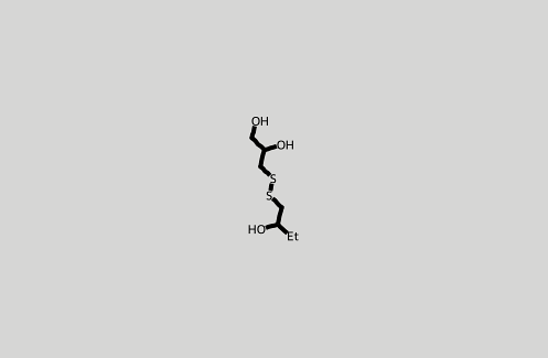 CCC(O)CSSCC(O)CO